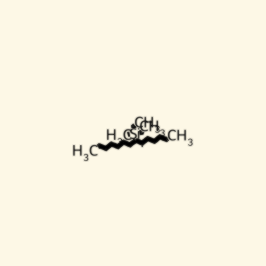 CCCCC[CH]C(CCCCCCC)[Si](C)(CC)CC